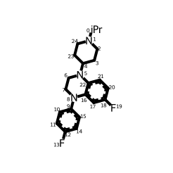 CC(C)N1CCC(N2CCN(c3ccc(F)cc3)c3cc(F)ccc32)CC1